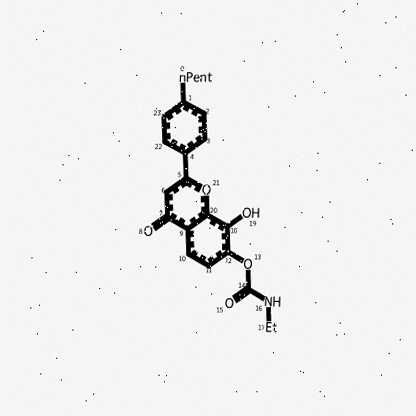 CCCCCc1ccc(-c2cc(=O)c3ccc(OC(=O)NCC)c(O)c3o2)cc1